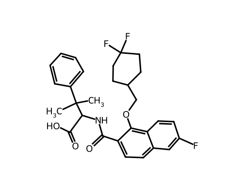 CC(C)(c1ccccc1)C(NC(=O)c1ccc2cc(F)ccc2c1OCC1CCC(F)(F)CC1)C(=O)O